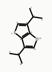 CC(C)c1csc2c(C(C)C)coc12